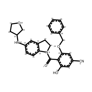 N#Cc1cc(O)c(C(=O)N2CCc3cc(NC4CCOC4)ccc32)c(OCc2ccccc2)c1